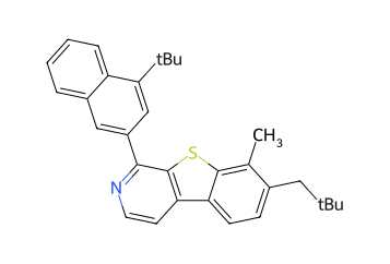 Cc1c(CC(C)(C)C)ccc2c1sc1c(-c3cc(C(C)(C)C)c4ccccc4c3)nccc12